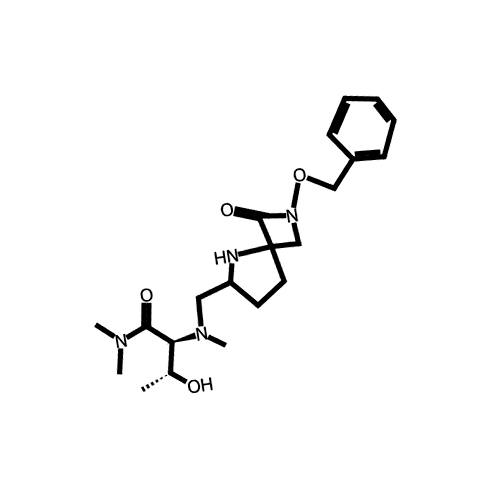 C[C@@H](O)[C@@H](C(=O)N(C)C)N(C)CC1CCC2(CN(OCc3ccccc3)C2=O)N1